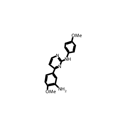 COc1ccc(Nc2nccc(-c3ccc(OC)c(N)c3)n2)cc1